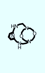 c1cc2nc(c1)CNCCN1CCOCCN(CCNC2)CCOCC1